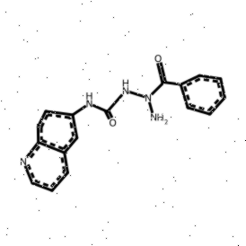 NN(NC(=O)Nc1ccc2ncccc2c1)C(=O)c1ccccc1